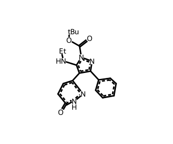 CCNc1c(-c2ccc(=O)[nH]n2)c(-c2ccccc2)nn1C(=O)OC(C)(C)C